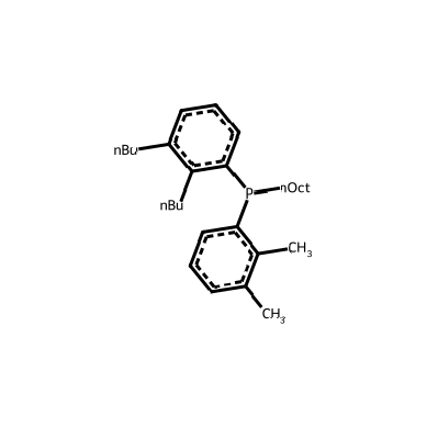 CCCCCCCCP(c1cccc(C)c1C)c1cccc(CCCC)c1CCCC